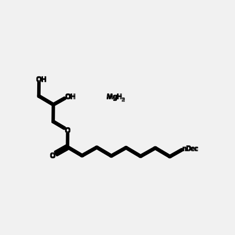 CCCCCCCCCCCCCCCCCC(=O)OCC(O)CO.[MgH2]